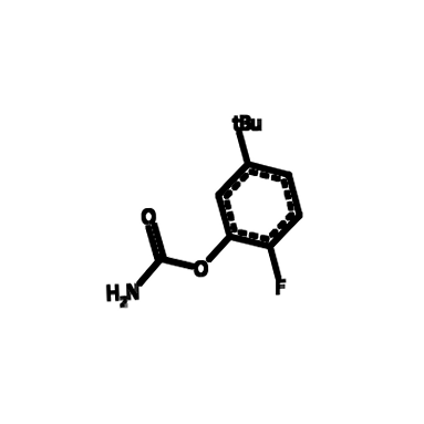 CC(C)(C)c1ccc(F)c(OC(N)=O)c1